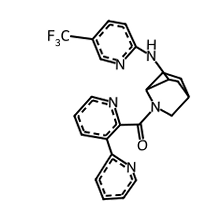 O=C(c1ncccc1-c1ccccn1)N1CC2CCC1C(Nc1ccc(C(F)(F)F)cn1)C2